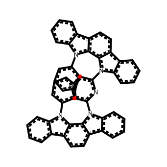 c1ccc(-n2c3ccccc3c3ccc4c5ccccc5n(-c5cncc(-n6c7ccccc7c7ccc8c9ccccc9n(-c9ccccc9)c8c76)n5)c4c32)cc1